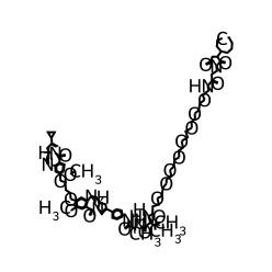 COc1cc2c(cc1OCCCOc1cc3c(cc1OC)C(=O)N1C=C(C4CC4)C[C@H]1C=N3)N=C[C@@H]1CC(c3ccc(NC(=O)[C@H](C)NC(=O)C(NC(=O)CCOCCOCCOCCOCCOCCOCCOCCOCCNC(=O)CCN4C(=O)CC(C5CCCCCCC5)C4=O)C(C)C)cc3)=CN1C2=O